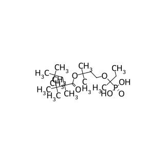 CCC(C)(OCCC(C)(C)OC(=O)C(C)(CC(C)(C)C)C(C)(C)C)P(=O)(O)O